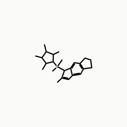 CC1=Cc2cc3c(cc2C1[Si](C)(C)C1C(C)C(C)C(C)C1C)CCC3